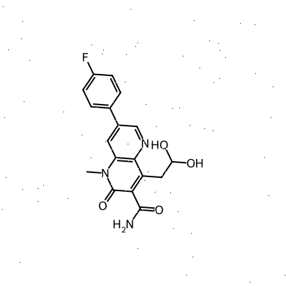 Cn1c(=O)c(C(N)=O)c(CC(O)O)c2ncc(-c3ccc(F)cc3)cc21